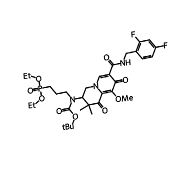 CCOP(=O)(CCCN(C(=O)OC(C)(C)C)C1Cn2cc(C(=O)NCc3ccc(F)cc3F)c(=O)c(OC)c2C(=O)C1(C)C)OCC